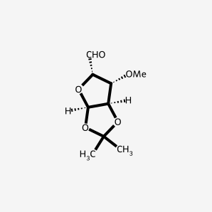 CO[C@@H]1[C@H]2OC(C)(C)O[C@H]2O[C@@H]1C=O